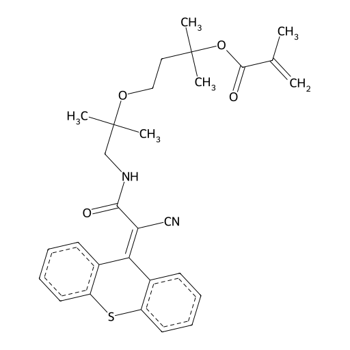 C=C(C)C(=O)OC(C)(C)CCOC(C)(C)CNC(=O)C(C#N)=C1c2ccccc2Sc2ccccc21